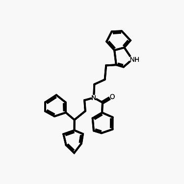 O=C(c1ccccc1)N(CCCc1c[nH]c2ccccc12)CCC(c1ccccc1)c1ccccc1